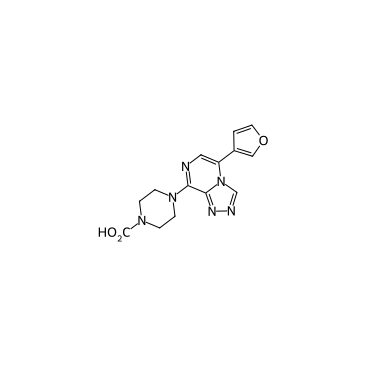 O=C(O)N1CCN(c2ncc(-c3ccoc3)n3cnnc23)CC1